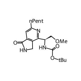 CCCCCc1cc2c(c([C@@H](COC)NC(=O)OC(C)(C)C)n1)CNC2=O